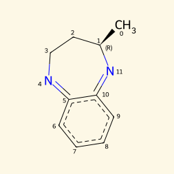 C[C@@H]1CCN=c2ccccc2=N1